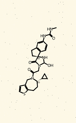 CNC(=O)Nc1ccc2c(c1)CC[C@]21NC(O)N(CC(=O)N2Cc3ccsc3CC[C@H]2C2CC2)C1=O